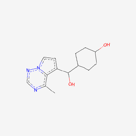 Cc1ncnn2ccc(C(O)C3CCC(O)CC3)c12